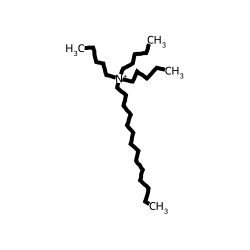 CCCCCCCCCCCCCC[N+](CCCCC)(CCCCC)CCCCC